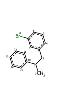 CC(Cc1cccc(Br)c1)c1ccccc1